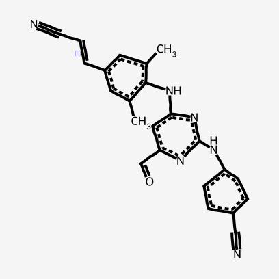 Cc1cc(/C=C/C#N)cc(C)c1Nc1cc(C=O)nc(Nc2ccc(C#N)cc2)n1